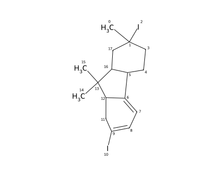 CC1(I)CCC2C3=CC=C(I)CC3C(C)(C)C2C1